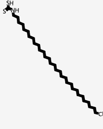 S=C(S)NCCCCCCCCCCCCCCCCCCCCCCCCCCCCCCCCl